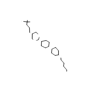 CCCCCO[C@H]1CC[C@H](C2CCC([C@H]3OC[C@H](CCCC(F)(F)F)CO3)CC2)CC1